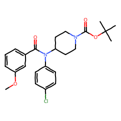 COc1cccc(C(=O)N(c2ccc(Cl)cc2)C2CCN(C(=O)OC(C)(C)C)CC2)c1